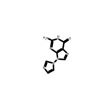 Nc1nc2c(ncn2-n2ccnc2)c(=O)[nH]1